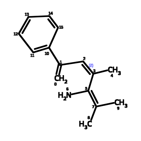 C=C(/C=C(/C)C(N)=C(C)C)c1ccccc1